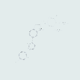 CO[C@@H]1[C@H](OC)[C@H](OC2Cc3ccc(-c4ccn(-c5ccc(C(F)(F)F)cn5)n4)cc3C2)O[C@@H](C)[C@@H]1OC